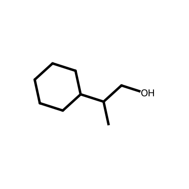 CC(CO)C1CCCCC1